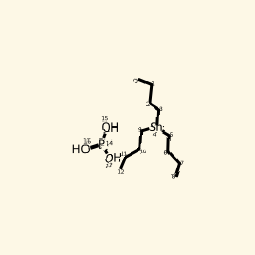 CCC[CH2][Sn]([CH2]CCC)[CH2]CCC.OP(O)O